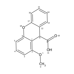 COc1cccc2c1C(C(=O)O)c1ccccc1O2